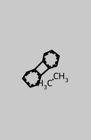 CC.c1ccc2c(c1)-c1ccccc1-2